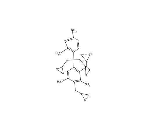 Cc1cc(N)ccc1C(CC1CO1)(CC1CO1)c1cc(C)c(CC2CO2)c(N)c1CC1CO1